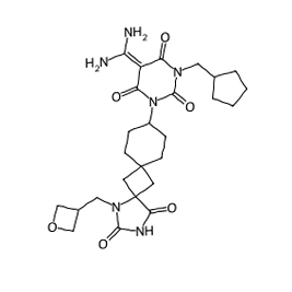 NC(N)=C1C(=O)N(CC2CCCC2)C(=O)N(C2CCC3(CC2)CC2(C3)C(=O)NC(=O)N2CC2COC2)C1=O